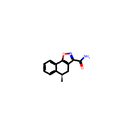 C[C@@H]1Cc2c(C(N)=O)noc2-c2ccccc21